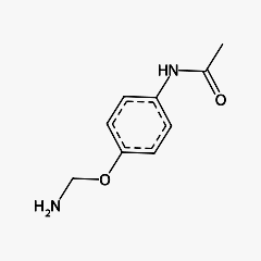 CC(=O)Nc1ccc(OCN)cc1